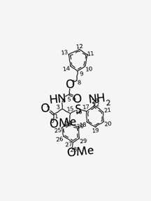 COC(=O)C(NC(=O)OCc1ccccc1)C(Sc1ccccc1N)c1ccc(OC)cc1